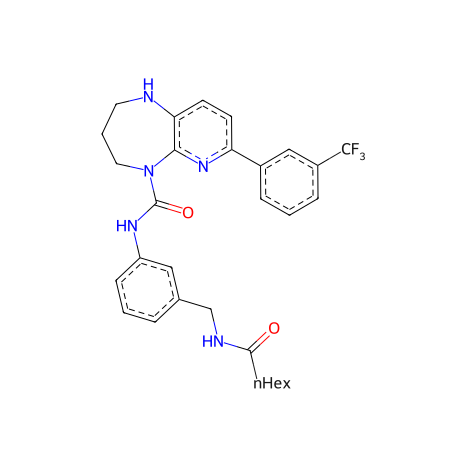 CCCCCCC(=O)NCc1cccc(NC(=O)N2CCCNc3ccc(-c4cccc(C(F)(F)F)c4)nc32)c1